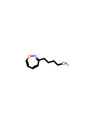 CCCCCC1=NOC=CC=C1